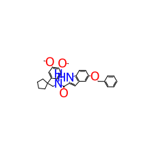 COc1ccc(C2(CNC(=O)c3cc4cc(OCc5ccccc5)ccc4[nH]3)CCCC2)cc1OC